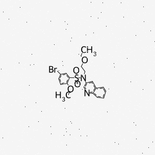 CCOCCN(c1cnc2ccccc2c1)S(=O)(=O)c1cc(Br)ccc1OC